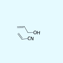 C=CC#N.C=CCO